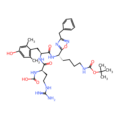 Cc1cc(O)cc(C)c1C[C@H](NC(=O)[C@@H](CCNC(=N)N)NC(=O)O)C(=O)N[C@@H](CCCCNC(=O)OC(C)(C)C)c1nc(Cc2ccccc2)no1